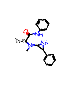 CC(C)[C@@H](C(=O)Nc1ccccc1)N(C)C1NC1c1ccccc1